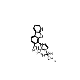 [2H]C([2H])(C)N1C=CN(c2c(C)ccc3c2oc2ncccc23)[C@H]1C